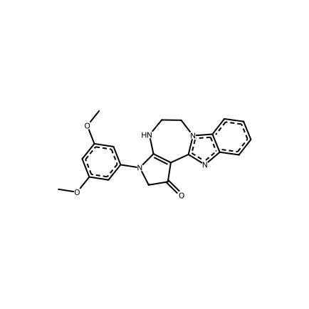 COc1cc(OC)cc(N2CC(=O)C3=C2NCCn2c3nc3ccccc32)c1